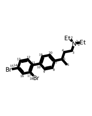 CCN(CC)CCC(C)c1ccc(-c2ccc(Br)cc2Br)cc1